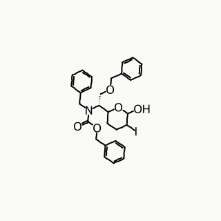 O=C(OCc1ccccc1)N(Cc1ccccc1)[C@H](COCc1ccccc1)C1CCC(I)C(O)O1